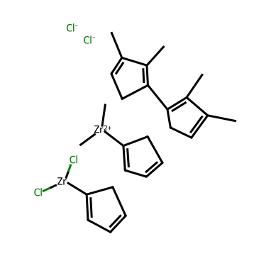 CC1=CCC(C2=C(C)C(C)=CC2)=C1C.[CH3][Zr+2]([CH3])[C]1=CC=CC1.[Cl-].[Cl-].[Cl][Zr]([Cl])[C]1=CC=CC1